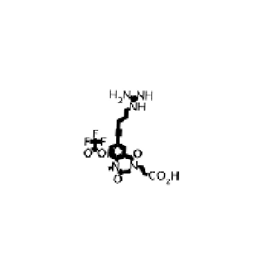 CN1C(=O)CN(CCC(=O)O)C(=O)c2cc(C#CCCCNC(=N)N)ccc21.O=C(O)C(F)(F)F